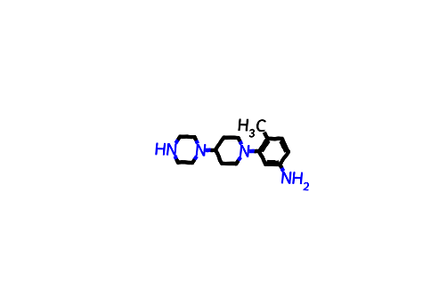 Cc1ccc(N)cc1N1CCC(N2CCNCC2)CC1